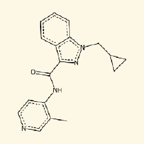 Cc1cnccc1NC(=O)c1nn(CC2CC2)c2ccccc12